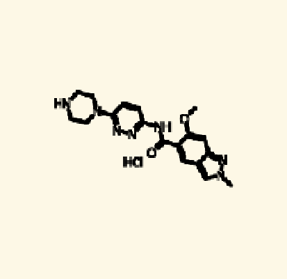 COc1cc2nn(C)cc2cc1C(=O)Nc1ccc(N2CCNCC2)nn1.Cl